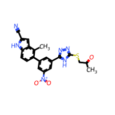 CC(=O)CSc1nnc(-c2cc(-c3ccc4[nH]c(C#N)cc4c3C)cc([N+](=O)[O-])c2)[nH]1